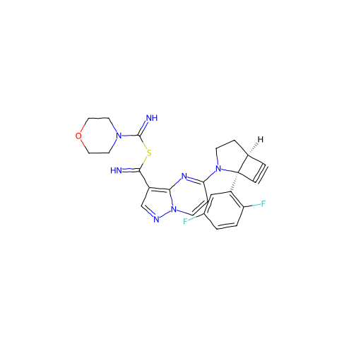 N=C(SC(=N)N1CCOCC1)c1cnn2ccc(N3CC[C@H]4C#C[C@]43c3cc(F)ccc3F)nc12